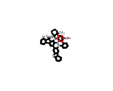 CCCCc1cc2c3c(c1)C1(C)CCCCC1(C)N3c1c3c(cc4c1C(C)(C)c1ccccc1-4)-c1cc4sc5ccccc5c4cc1N(c1ccccc1-c1ccccc1)B23